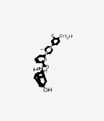 C[C@@H]1CN(c2ccc(C(=O)O)c(F)c2)CCN1c1cccc(C(=O)N[C@H]2C3CC4CC2C[C@](O)(C4)C3)n1